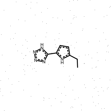 CCc1ccc(-c2nnn[nH]2)[nH]1